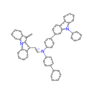 C=c1c2ccccc2n2c1c(/C=C/N(c1ccc(-c3ccccc3)cc1)c1ccc(-c3ccc4c5ccccc5n(-c5ccccc5)c4c3)cc1)c1ccccc12